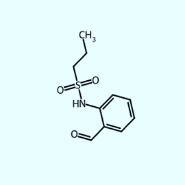 CCCS(=O)(=O)Nc1ccccc1C=O